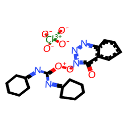 O=c1c2ccccc2nnn1O[O+]=C(N=C1CCCCC1)N=C1CCCCC1.[O-][Cl+3]([O-])([O-])[O-]